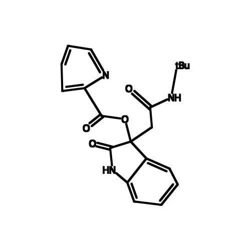 CC(C)(C)NC(=O)CC1(OC(=O)c2ccccn2)C(=O)Nc2ccccc21